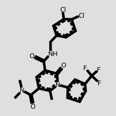 Cc1c(C(=O)N(C)C)cc(C(=O)NCc2ccc(Cl)c(Cl)c2)c(=O)n1-c1cccc(C(F)(F)F)c1